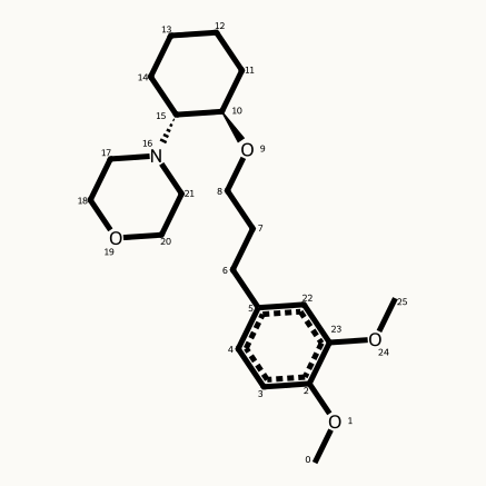 COc1ccc(CCCO[C@@H]2CCCC[C@H]2N2CCOCC2)cc1OC